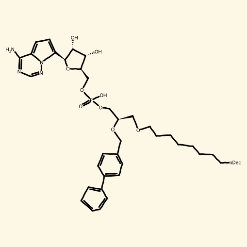 CCCCCCCCCCCCCCCCCCOC[C@H](COP(=O)(O)OC[C@H]1O[C@@H](c2ccc3c(N)ncnn23)[C@H](O)[C@@H]1O)OCc1ccc(-c2ccccc2)cc1